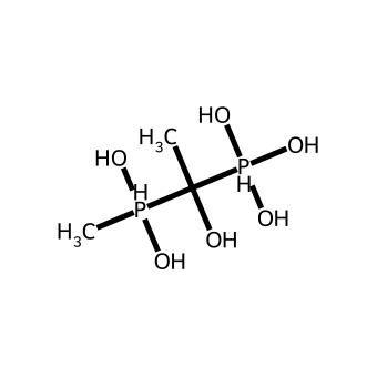 CC(O)([PH](C)(O)O)[PH](O)(O)O